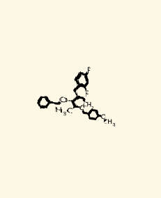 C=C[C@H](Cc1ccc(F)cc1F)[C@@H](OCc1ccccc1)[C@H](C)OCc1ccc(OC)cc1